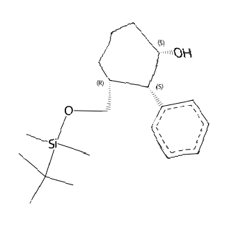 CC(C)(C)[Si](C)(C)OC[C@@H]1CCC[C@H](O)[C@@H]1c1ccccc1